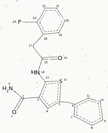 NC(=O)c1cc(-c2ccccc2)sc1NC(=O)Cc1ccccc1F